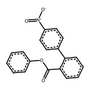 O=C(Oc1ccccc1)c1ccccc1-c1ccc([N+](=O)[O-])cc1